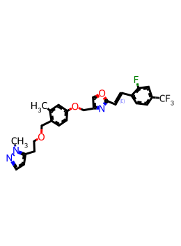 Cc1cc(OCc2coc(/C=C/c3ccc(C(F)(F)F)cc3F)n2)ccc1COCCc1ccnn1C